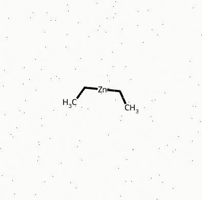 C[CH2][Zn-][CH2]C